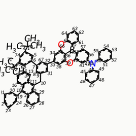 CC(C)(C)c1cc(-c2cc(Cc3c4ccccc4c(-c4ccccc4)c4ccccc34)cc(-c3cc4c5c(c3)Oc3cc(N(c6ccccc6)c6ccccc6)ccc3B5c3ccccc3O4)c2)cc(C(C)(C)C)c1